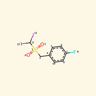 O=S(=O)(Cc1ccc(F)cc1)C(I)I